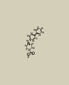 COC(=O)C1CCN(Cc2ccc(-c3ccccc3)cc2)CC1